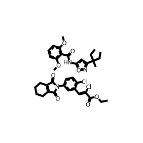 CCC(C)(CC)c1cc(NC(=O)c2c(OC)cccc2OC)on1.CCOC(=O)/C(Cl)=C/c1cc(N2C(=O)C3=C(CCCC3)C2=O)ccc1Cl